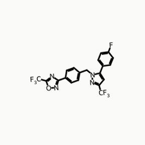 Fc1ccc(-c2cc(C(F)(F)F)nn2Cc2ccc(-c3noc(C(F)(F)F)n3)cc2)cc1